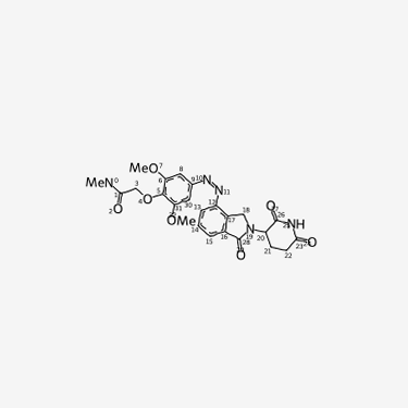 CNC(=O)COc1c(OC)cc(/N=N\c2cccc3c2CN(C2CCC(=O)NC2=O)C3=O)cc1OC